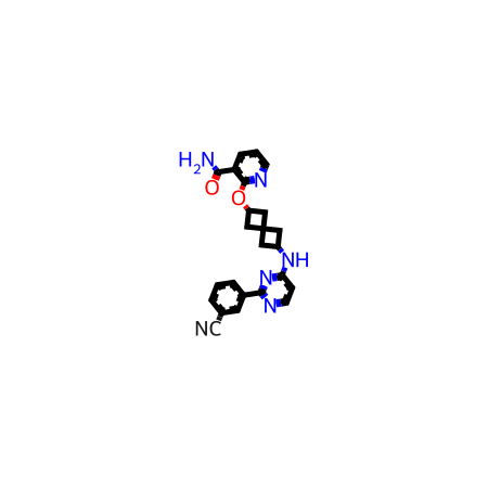 N#Cc1cccc(-c2nccc(NC3CC4(C3)CC(Oc3ncccc3C(N)=O)C4)n2)c1